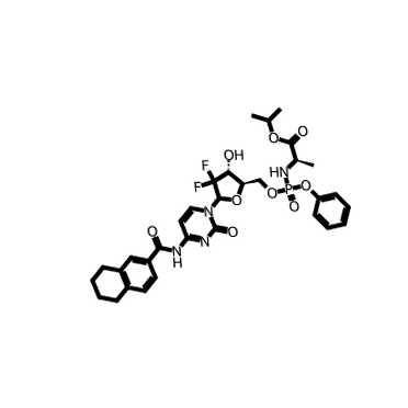 CC(C)OC(=O)[C@@H](C)NP(=O)(OC[C@H]1OC(n2ccc(NC(=O)c3ccc4c(c3)CCCC4)nc2=O)C(F)(F)[C@@H]1O)Oc1ccccc1